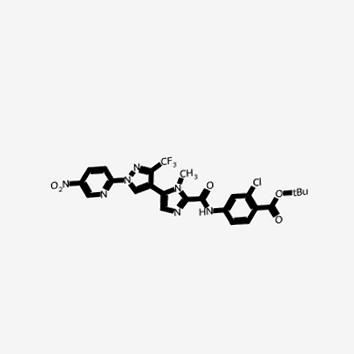 Cn1c(-c2cn(-c3ccc([N+](=O)[O-])cn3)nc2C(F)(F)F)cnc1C(=O)Nc1ccc(C(=O)OC(C)(C)C)c(Cl)c1